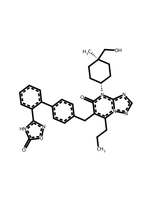 CCCc1c(Cc2ccc(-c3ccccc3-c3noc(=O)[nH]3)cc2)c(=O)n([C@H]2CC[C@](C)(CO)CC2)c2ncnn12